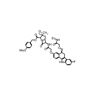 CCNC(=O)CO/N=C1/Cc2c([nH]c3ccc(F)cc23)-c2ccc(OCC(=O)NC3C(=O)N4C3SC(C)(C)C4C(=O)OCc3ccc(OC)cc3)cc21